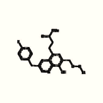 CCOOCc1cc(CCC(=O)OC)c2cc(Cc3ccc(F)cc3)cnc2c1O